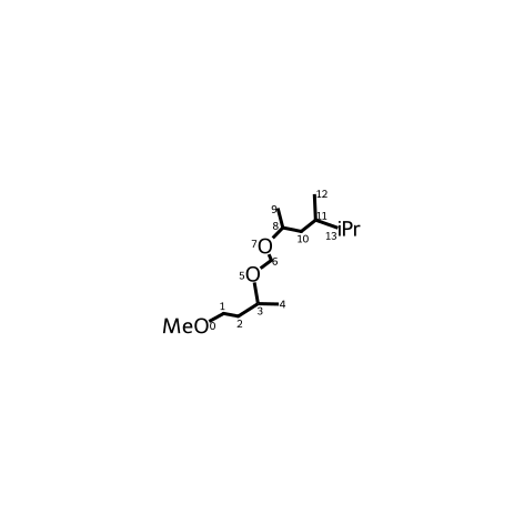 COCCC(C)OCOC(C)CC(C)C(C)C